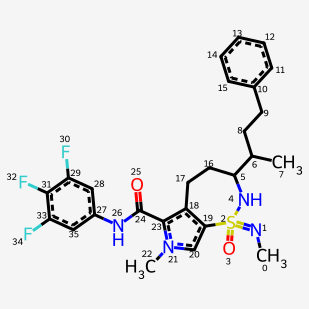 CN=S1(=O)NC(C(C)CCc2ccccc2)CCc2c1cn(C)c2C(=O)Nc1cc(F)c(F)c(F)c1